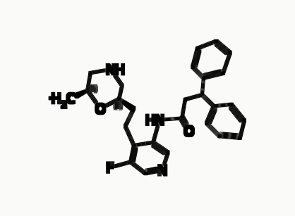 [CH2][C@H]1CNC[C@@H](CCc2c(F)cncc2NC(=O)CC(c2ccccc2)c2ccccc2)O1